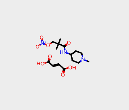 CN1CCC(NC(=O)C(C)(C)CO[N+](=O)[O-])CC1.O=C(O)C=CC(=O)O